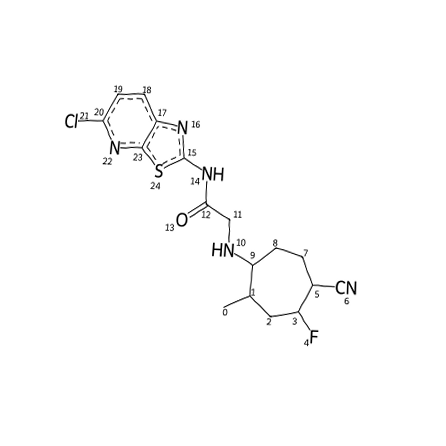 CC1CC(F)C(C#N)CCC1NCC(=O)Nc1nc2ccc(Cl)nc2s1